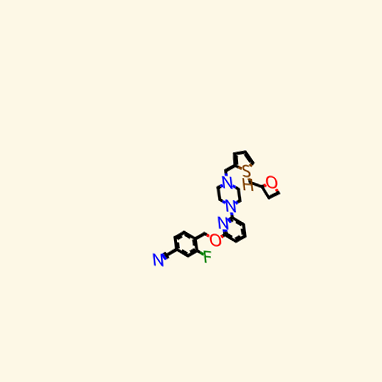 N#Cc1ccc(COc2cccc(N3CCN(CC4=CC=C[SH]4CC4CCO4)CC3)n2)c(F)c1